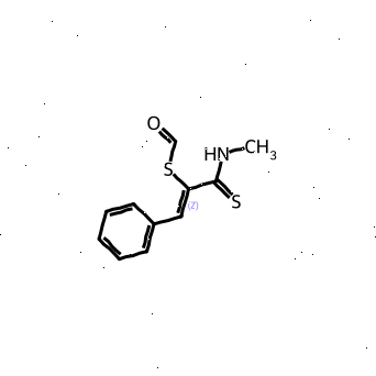 CNC(=S)/C(=C/c1ccccc1)SC=O